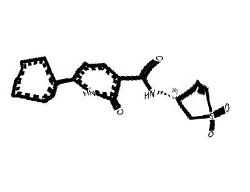 O=C(N[C@@H]1C=CS(=O)(=O)C1)c1ccc(-c2ccccc2)[nH]c1=O